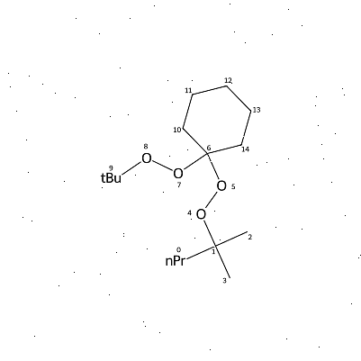 CCCC(C)(C)OOC1(OOC(C)(C)C)CCCCC1